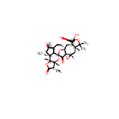 C[C@@H]1C(=O)O[C@H]2[C@@H]1O[C@@]13O[C@@]4(CC[C@]5(C)C(=O)[C@@H](C)[C@H]2C15)C[C@]12OC(=O)C[C@@]1(O)OC(C)(C)[C@@H]2C[C@@H]1O[C@@]14C3=O